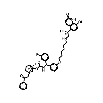 O=C(NC(c1cccc(F)c1)c1cccc(OCCCCCCNC[C@@H](O)c2ccc(O)c3[nH]c(=O)ccc23)c1)O[C@H]1C[N+]2(CC(=O)c3ccccc3)CCC1CC2